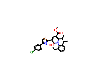 CCc1cccc(CC)c1N1C(C(C)C)=C(C(=O)OC)C=C(c2nc(-c3ccc(Cl)cc3)cs2)C1O